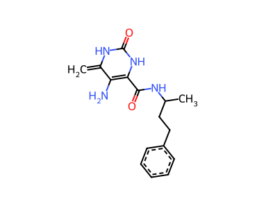 C=C1NC(=O)NC(C(=O)NC(C)CCc2ccccc2)=C1N